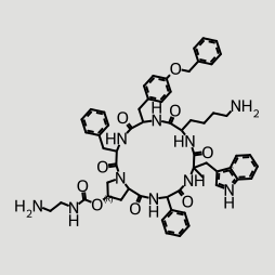 CC1(Cc2c[nH]c3ccccc23)NC(=O)C(c2ccccc2)NC(=O)C2C[C@@H](OC(=O)NCCN)CN2C(=O)C(Cc2ccccc2)NC(=O)C(Cc2ccc(OCc3ccccc3)cc2)NC(=O)C(CCCCN)NC1=O